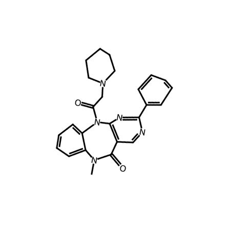 CN1C(=O)c2cnc(-c3ccccc3)nc2N(C(=O)CN2CCCCC2)c2ccccc21